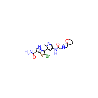 Cc1ncc(NC(=O)CN2CC3(CCCCO3)C2)cc1-c1c(Br)sc2c(C(N)=O)cnn12